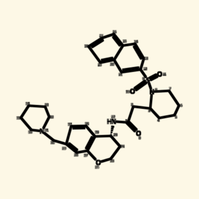 O=C(CC1CCCCN1S(=O)(=O)c1ccc2ccccc2c1)N[C@@H]1CCOc2cc(CN3CCCCC3)ccc21